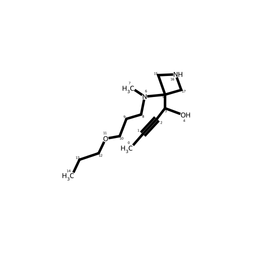 CC#CC(O)C1(N(C)CCCOCCC)CNC1